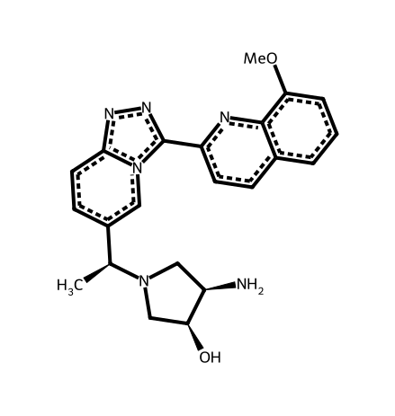 COc1cccc2ccc(-c3nnc4ccc([C@H](C)N5C[C@@H](N)[C@@H](O)C5)cn34)nc12